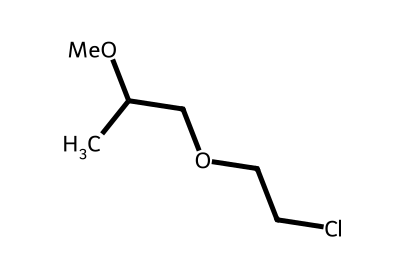 COC(C)COCCCl